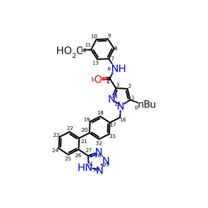 CCCCc1cc(C(=O)Nc2cccc(C(=O)O)c2)nn1Cc1ccc(-c2ccccc2-c2nnn[nH]2)cc1